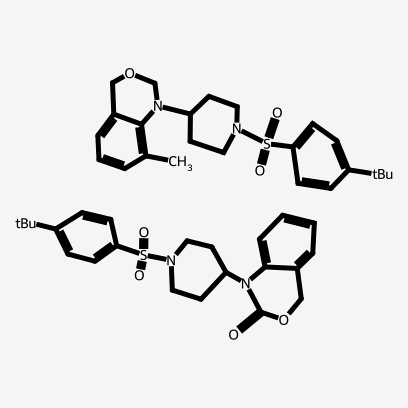 CC(C)(C)c1ccc(S(=O)(=O)N2CCC(N3C(=O)OCc4ccccc43)CC2)cc1.Cc1cccc2c1N(C1CCN(S(=O)(=O)c3ccc(C(C)(C)C)cc3)CC1)COC2